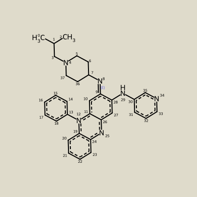 CC(C)CN1CCC(/N=c2\cc3n(-c4ccccc4)c4ccccc4nc-3cc2Nc2cccnc2)CC1